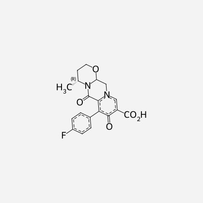 C[C@@H]1CCOC2Cn3cc(C(=O)O)c(=O)c(-c4ccc(F)cc4)c3C(=O)N21